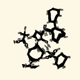 CC(C)N(C)[C@@H]1CC[C@H](N2CCC(Nc3ccccc3-c3ccccc3)C2=O)[C@H](CS(=O)(=O)c2ccccc2)C1.O=C(O)C(F)(F)F